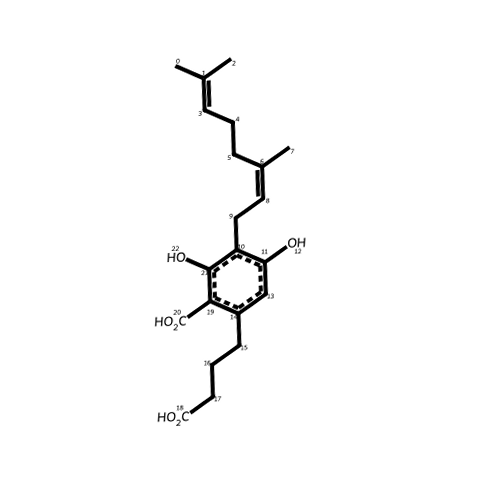 CC(C)=CCCC(C)=CCc1c(O)cc(CCCC(=O)O)c(C(=O)O)c1O